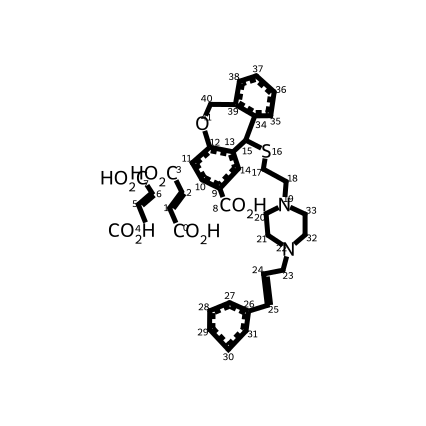 O=C(O)/C=C/C(=O)O.O=C(O)/C=C/C(=O)O.O=C(O)c1ccc2c(c1)C(SCCN1CCN(C/C=C/c3ccccc3)CC1)c1ccccc1CO2